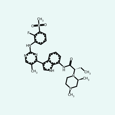 CC[C@@H](C(=O)Nc1cccc2c(-c3nc(Nc4cccc(S(C)(=O)=O)c4F)ncc3C)c[nH]c12)N1CCN(C)C[C@@H]1C